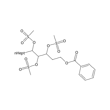 CCCCCCCC(OS(C)(=O)=O)C(OS(C)(=O)=O)C(CCOC(=O)c1ccccc1)OS(C)(=O)=O